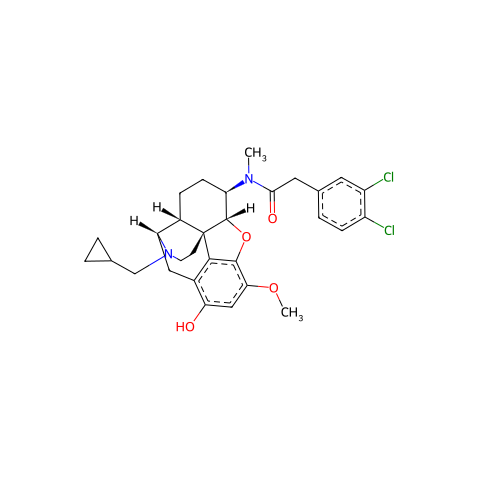 COc1cc(O)c2c3c1O[C@H]1[C@H](N(C)C(=O)Cc4ccc(Cl)c(Cl)c4)CC[C@H]4[C@@H](C2)N(CC2CC2)CC[C@@]341